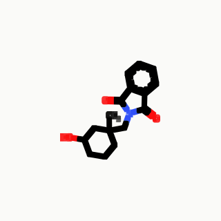 CC1(CN2C(=O)c3ccccc3C2=O)CCCC(O)C1